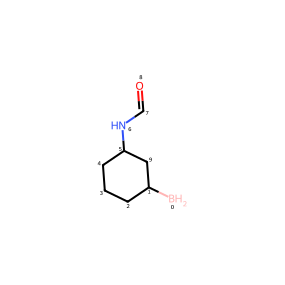 BC1CCCC(NC=O)C1